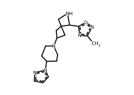 Cc1noc(C2NCC23CC(N2CCC(n4cccn4)CC2)C3)n1